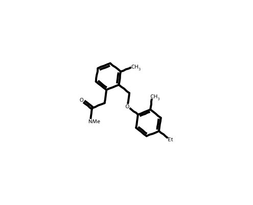 CCc1ccc(OCc2c(C)cccc2CC(=O)NC)c(C)c1